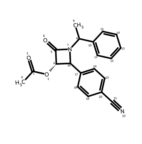 CC(=O)O[C@@H]1C(=O)N(C(C)c2ccccc2)C1c1ccc(C#N)cc1